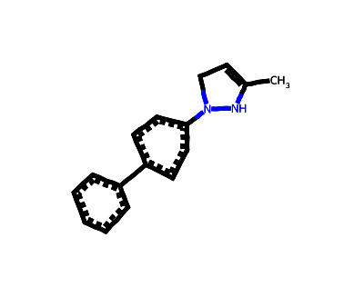 CC1=CCN(c2ccc(-c3ccccc3)cc2)N1